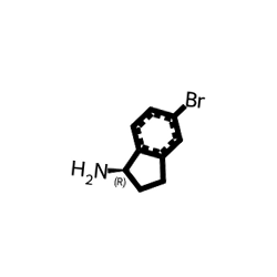 N[C@@H]1CCc2cc(Br)ccc21